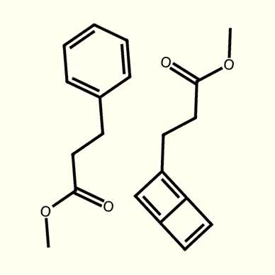 COC(=O)CCc1cc2ccc1-2.COC(=O)CCc1ccccc1